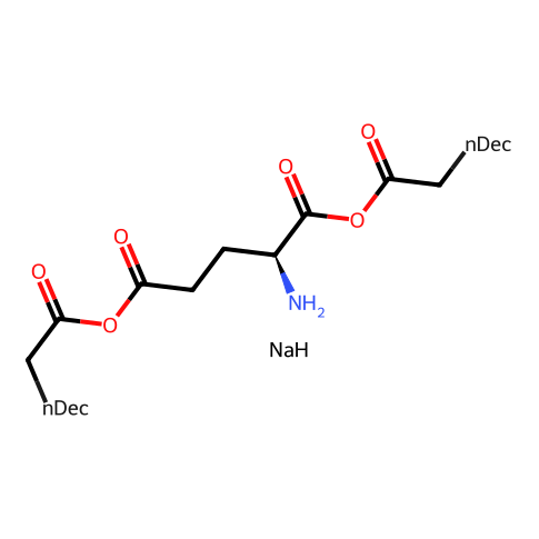 CCCCCCCCCCCC(=O)OC(=O)CC[C@H](N)C(=O)OC(=O)CCCCCCCCCCC.[NaH]